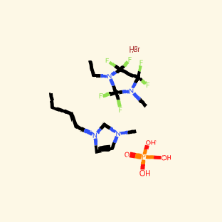 Br.CCCCN1C=CN(C)C1.CCN1C(F)(F)N(C)C(F)(F)C1(F)F.O=P(O)(O)O